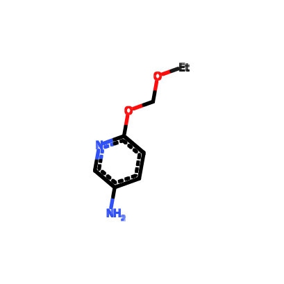 CCOCOc1ccc(N)cn1